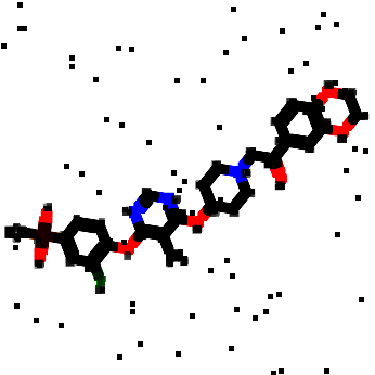 Cc1c(Oc2ccc(S(C)(=O)=O)cc2F)ncnc1OC1CCN(CC(=O)c2ccc3c(c2)OCCO3)CC1